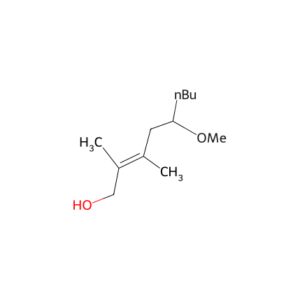 CCCCC(C/C(C)=C(\C)CO)OC